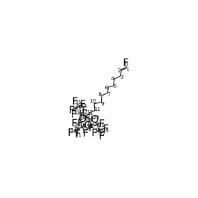 FC=CCCCCCCCCCC[Si](OC(F)(F)C(F)(F)F)(OC(F)(F)C(F)(F)F)OC(F)(F)C(F)(F)F